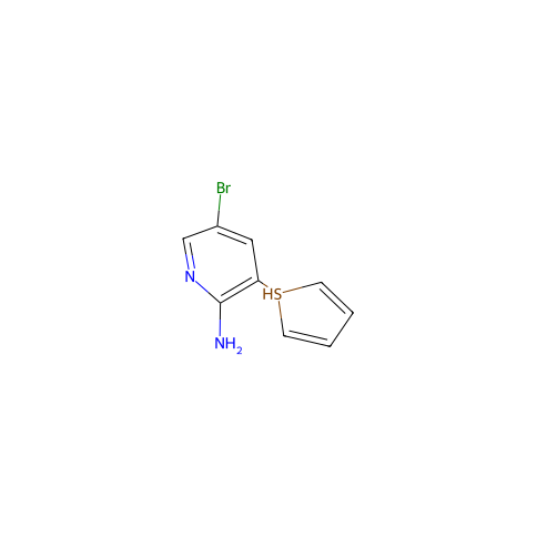 Nc1ncc(Br)cc1[SH]1C=CC=C1